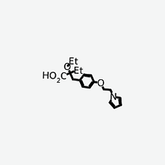 CCOC(CC)(Cc1ccc(OCCn2cccc2)cc1)C(=O)O